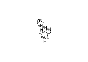 CN(C)c1nc(N2CCOCC2)nc2c1CCNCC2